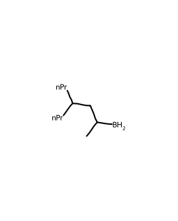 BC(C)CC(CCC)CCC